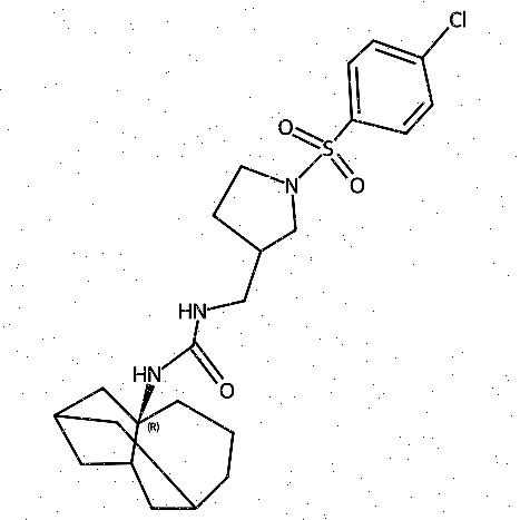 O=C(NCC1CCN(S(=O)(=O)c2ccc(Cl)cc2)C1)N[C@@]12CCCC3CC(CC1C3)C2